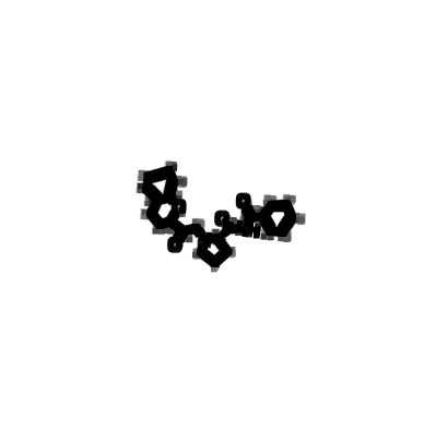 O=C(NC(=O)[C@H]1CCCN1CC(=O)C1CCc2ccccc2O1)c1ccccc1